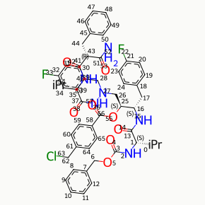 CC(C)[C@H](NC(=O)OCc1ccccc1)C(=O)N[C@@H](Cc1ccc(F)cc1)[C@H](CN(Cc1ccc(F)cc1)NC(=O)[C@@H](NC(=O)[C@H](Cc1ccccc1)C(N)=O)C(C)C)OC(=O)c1ccc(CCl)cc1